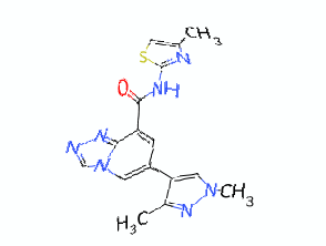 Cc1csc(NC(=O)c2cc(-c3cn(C)nc3C)cn3cnnc23)n1